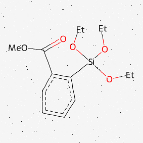 CCO[Si](OCC)(OCC)c1ccccc1C(=O)OC